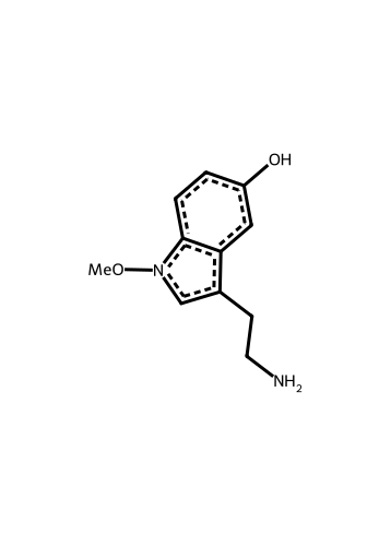 COn1cc(CCN)c2cc(O)ccc21